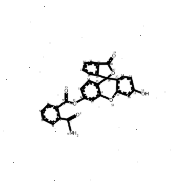 NC(=O)c1ccccc1C(=O)Oc1ccc2c(c1)Oc1cc(O)ccc1C21OC(=O)c2ccccc21